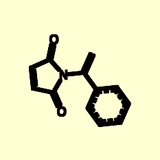 C=C(c1ccccc1)N1C(=O)C=CC1=O